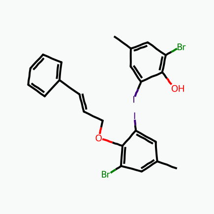 Cc1cc(Br)c(O)c(I)c1.Cc1cc(Br)c(OCC=Cc2ccccc2)c(I)c1